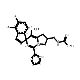 CCOC(=O)C1=C2CC(CNC(=O)OC)CN2C(c2nccs2)=NC12C=Cc1c2ccc(F)c1F